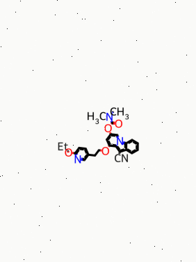 CCOc1ccc(CCOc2cc(OC(=O)N(C)C)cn3c2c(C#N)c2ccccc23)cn1